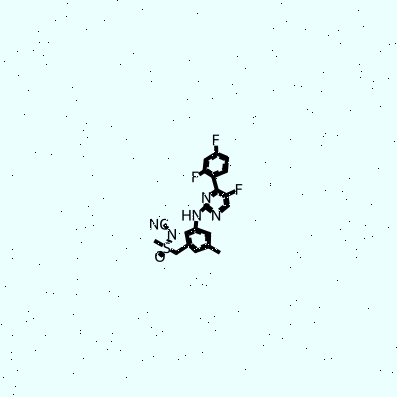 Cc1cc(CS(C)(=O)=NC#N)cc(Nc2ncc(F)c(-c3ccc(F)cc3F)n2)c1